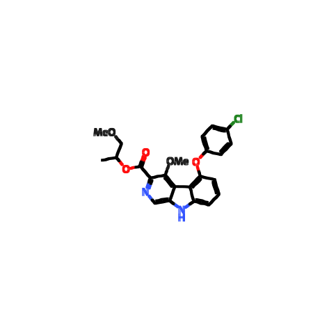 COCC(C)OC(=O)c1ncc2[nH]c3cccc(Oc4ccc(Cl)cc4)c3c2c1OC